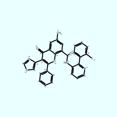 Cc1cc([C@@H](C)Nc2cccnc2-c2ccccc2F)c2oc(-c3ccccc3)c(-c3cocn3)c(=O)c2c1